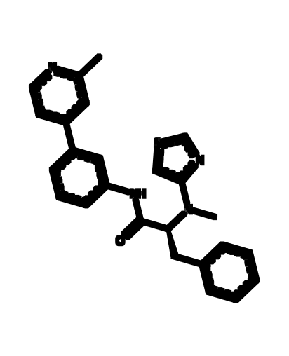 Cc1cc(-c2cccc(NC(=O)[C@H](Cc3ccccc3)N(C)c3cscn3)c2)ccn1